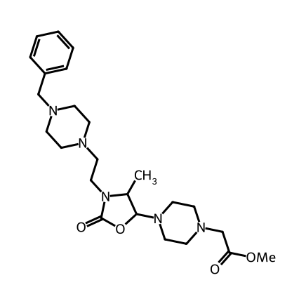 COC(=O)CN1CCN(C2OC(=O)N(CCN3CCN(Cc4ccccc4)CC3)C2C)CC1